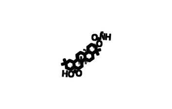 CNC(=O)O[C@@H]1CC[C@@]2(C)C(CC[C@]3(C)C2CC=C2C4CC(C)(C)CC[C@]4(C(=O)O)CC[C@]23C)C1(C)C